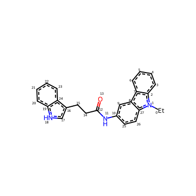 CCn1c2ccccc2c2cc(NC(=O)CCc3c[nH]c4ccccc34)ccc21